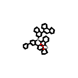 c1ccc(-c2ccc(N(c3cc(-c4cc5ccccc5c5ccccc45)c4ccccc4c3)c3cc4c5ccccc5sc4c4ccccc34)c(-c3ccccc3)c2)cc1